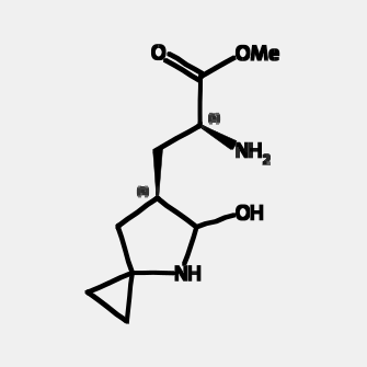 COC(=O)[C@@H](N)C[C@@H]1CC2(CC2)NC1O